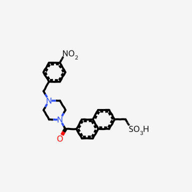 O=C(c1ccc2cc(CS(=O)(=O)O)ccc2c1)N1CCN(Cc2ccc([N+](=O)[O-])cc2)CC1